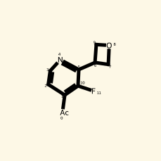 [CH2]C(=O)c1ccnc(C2COC2)c1F